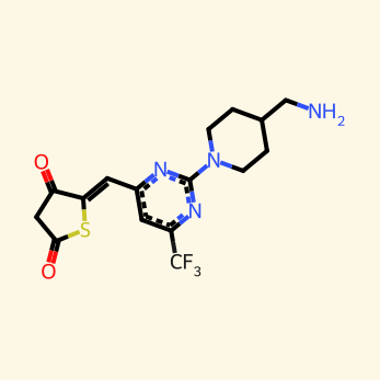 NCC1CCN(c2nc(/C=C3\SC(=O)CC3=O)cc(C(F)(F)F)n2)CC1